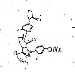 COc1ccc(-n2nc(C(N)=O)c3c2C(=O)N(c2ccc(N4CCCC4=O)cc2C)CC3)c(F)c1